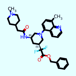 Cc1ccc(N2C[C@H](NC(=O)CC3CCN(C)CC3)C[C@H](C(F)(F)C(=O)OCc3ccccc3)C2)c2cccnc12